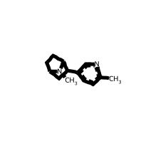 Cc1ccc(C2CC3CCC2N3C)cn1